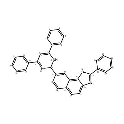 C1=C(c2ccccc2)NC(c2ccc3ccc4nc(-c5ccccc5)oc4c3c2)N=C1c1ccccc1